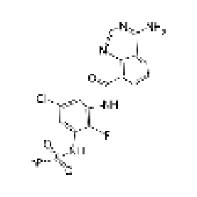 CCCS(=O)(=O)Nc1cc(Cl)cc(NC(=O)c2cccc3c(N)ncnc23)c1F